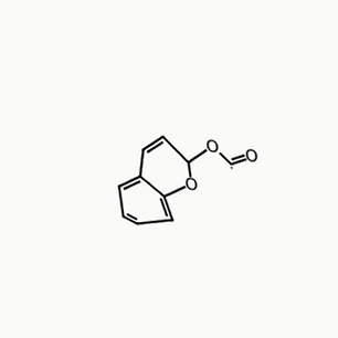 O=[C]OC1C=Cc2ccccc2O1